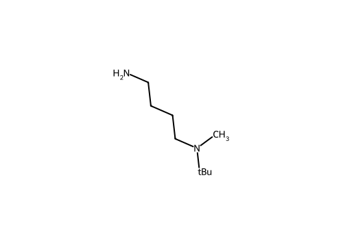 CN(CCCCN)C(C)(C)C